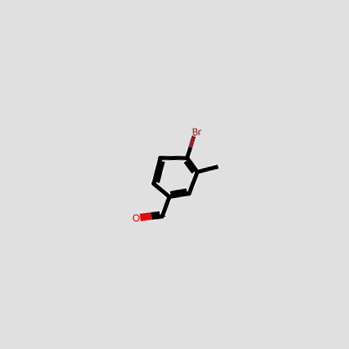 Cc1cc([C]=O)ccc1Br